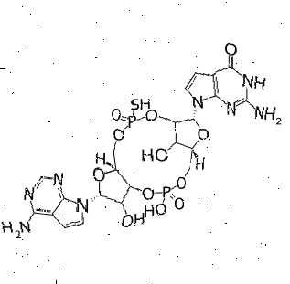 Nc1nc2c(ccn2[C@@H]2O[C@@H]3COP(=O)(O)OC4C(O)[C@H](n5ccc6c(N)ncnc65)O[C@@H]4COP(=O)(S)OC2C3O)c(=O)[nH]1